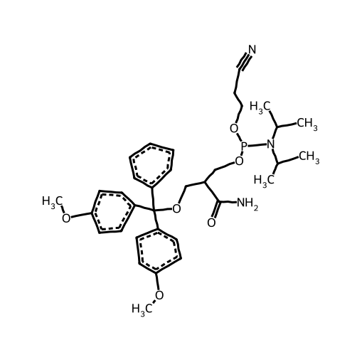 COc1ccc(C(OCC(COP(OCCC#N)N(C(C)C)C(C)C)C(N)=O)(c2ccccc2)c2ccc(OC)cc2)cc1